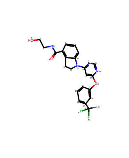 O=C(NCCO)c1cccc2c1CCN2c1cc(Oc2cccc(C(F)(F)F)c2)ncn1